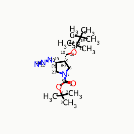 CC(C)(C)OC(=O)N1C[C@@H](CO[Si](C)(C)C(C)(C)C)[C@@H](N=[N+]=[N-])C1